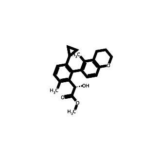 COC(=O)[C@@H](O)c1c(C)ccc(C2CC2)c1-c1ccc2c(c1C)CCCO2